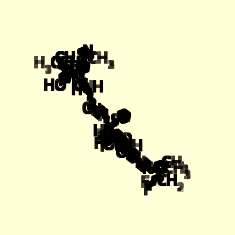 C=C(CCC(F)F)C1=C(CN2CCN(c3ccc(C(=O)NS(=O)(=O)c4ccc(N[C@H](CCN5CCN(C(=O)CCCCNC(=O)C[C@H](NC(=O)[C@@H]6C[C@@H](O)CC6C(=O)CC(C)(C)C)c6ccc(-c7scnc7C)cc6)CC5)CSc5ccccc5)c(S(=O)(=O)C(F)(F)F)c4)cc3)CC2)CCC(C)(C)C1